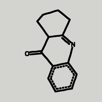 O=C1c2ccccc2N=C2CCCCC12